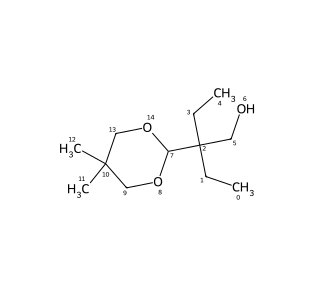 CCC(CC)(CO)C1OCC(C)(C)CO1